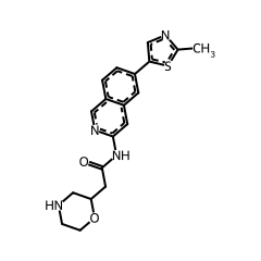 Cc1ncc(-c2ccc3cnc(NC(=O)CC4CNCCO4)cc3c2)s1